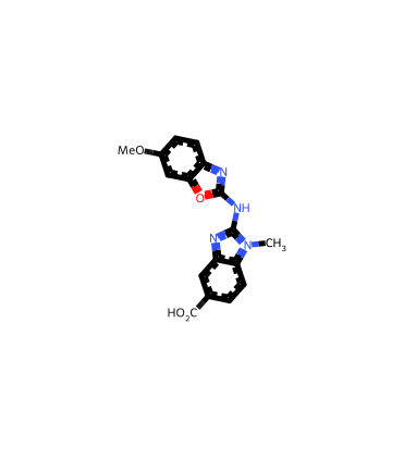 COc1ccc2nc(Nc3nc4cc(C(=O)O)ccc4n3C)oc2c1